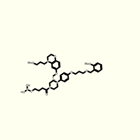 COCCCN1CCOc2ccc(OC[C@H]3CN(C(=O)CCCON(O)O)CCN3c3ccc(OCCCOCc4ccccc4OC)cc3)cc21